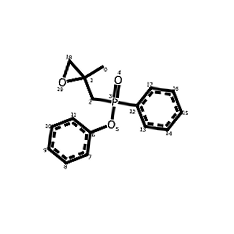 CC1(CP(=O)(Oc2ccccc2)c2ccccc2)CO1